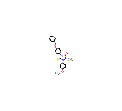 COc1ccc(N2C(=S)N(c3ccc(OCc4ccccc4)cc3)C(=O)C2C)cc1